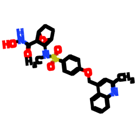 Cc1cc(COc2ccc(S(=O)(=O)N(C)C3C4CCC(O4)C3C(=O)NO)cc2)c2ccccc2n1